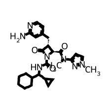 CN(C(=O)[C@@H]1[C@@H](Cc2ccnc(N)c2)C(=O)N1C(=O)NC(C1CCCCC1)C1CC1)c1ccn(C)n1